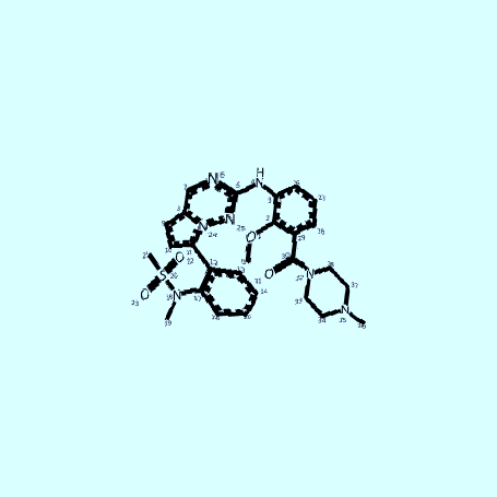 COc1c(Nc2ncc3ccc(-c4ccccc4N(C)S(C)(=O)=O)n3n2)cccc1C(=O)N1CCN(C)CC1